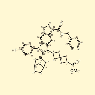 COC(=O)C1CC2(C1)CC(c1c(C3CC4CCC(C3)O4)n(-c3ccc(F)cc3)c3cc4cnn(C(=O)OCc5ccccc5)c4cc13)C2